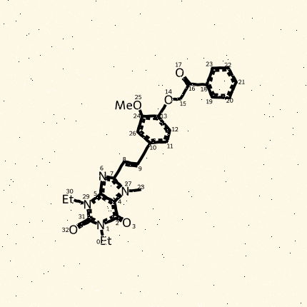 CCn1c(=O)c2c(nc(/C=C/c3ccc(OCC(=O)c4ccccc4)c(OC)c3)n2C)n(CC)c1=O